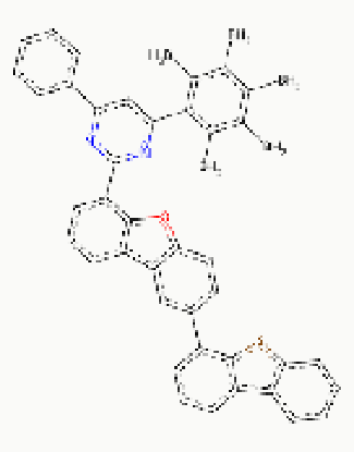 Bc1c(B)c(B)c(-c2cc(-c3ccccc3)nc(-c3cccc4c3oc3ccc(-c5cccc6c5sc5ccccc56)cc34)n2)c(B)c1B